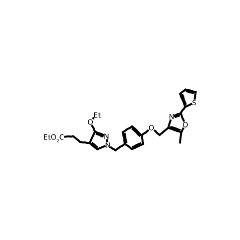 CCOC(=O)CCc1cn(Cc2ccc(OCc3nc(-c4cccs4)oc3C)cc2)nc1OCC